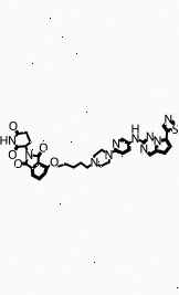 O=C1CCC(N2C(=O)c3cccc(OCCCCCN4CCN(c5ccc(Nc6ncc7ccc(-c8cncs8)n7n6)cn5)CC4)c3C2=O)C(=O)N1